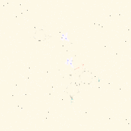 CN(CCCN1CCCC(c2ccc(F)cc2)(c2ccc(F)cc2)C1=O)CCc1ccccc1